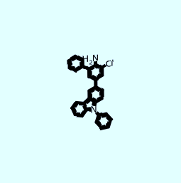 Nc1c(Cl)cc(-c2ccc3c(c2)c2ccccc2n3-c2ccccc2)cc1-c1ccccc1